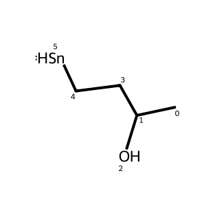 CC(O)C[CH2][SnH]